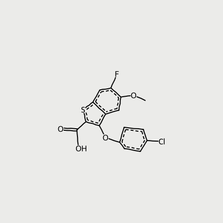 COc1cc2c(Oc3ccc(Cl)cc3)c(C(=O)O)sc2cc1F